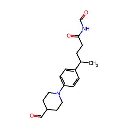 CC(CCC(=O)NC=O)c1ccc(N2CCC(C=O)CC2)cc1